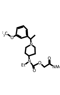 CCN(C(=O)OCC(=O)NC)C1CCN(C(C)c2cccc(OC(F)(F)F)c2)CC1